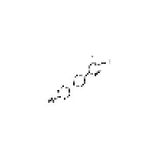 CCC[C@H]1CC[C@H](C2CCC(c3ccc(O)c(F)c3)CC2)CC1